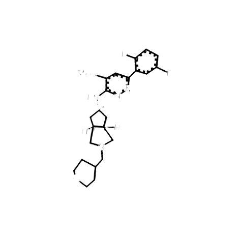 COc1cc(-c2cc(F)ccc2F)nnc1N[C@@H]1C[C@@H]2CN(CC3CCOCC3)C[C@@H]2C1